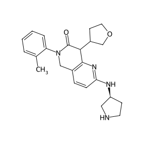 Cc1ccccc1N1Cc2ccc(N[C@H]3CCNC3)nc2C(C2CCOC2)C1=O